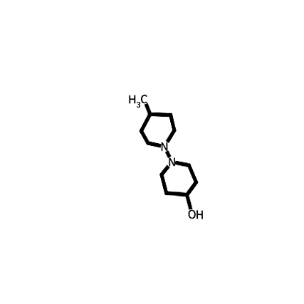 CC1CCN(N2CCC(O)CC2)CC1